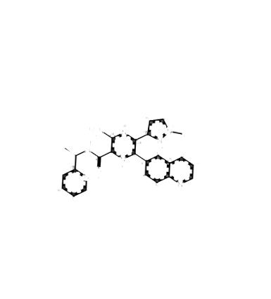 C[C@@H](NC(=O)c1nc(-c2ccc3ncccc3c2)c(-c2ccn(C)n2)nc1N)c1ccccn1